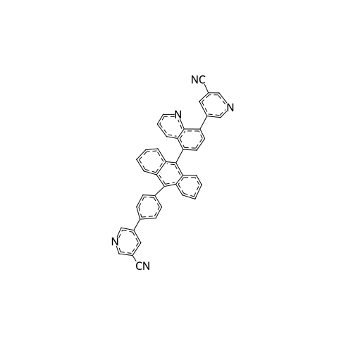 N#Cc1cncc(-c2ccc(-c3c4ccccc4c(-c4ccc(-c5cncc(C#N)c5)c5ncccc45)c4ccccc34)cc2)c1